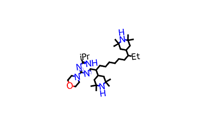 CCC(CCCCCCC(/C=N/C(=N\C(=N)C(C)C)N1CCOCC1)C1CC(C)(C)NC(C)(C)C1)C1CC(C)(C)NC(C)(C)C1